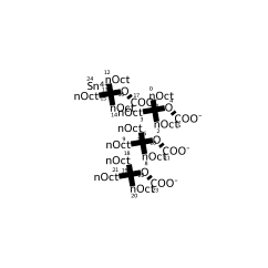 CCCCCCCCC(CCCCCCCC)(CCCCCCCC)OC(=O)[O-].CCCCCCCCC(CCCCCCCC)(CCCCCCCC)OC(=O)[O-].CCCCCCCCC(CCCCCCCC)(CCCCCCCC)OC(=O)[O-].CCCCCCCCC(CCCCCCCC)(CCCCCCCC)OC(=O)[O-].[Sn+4]